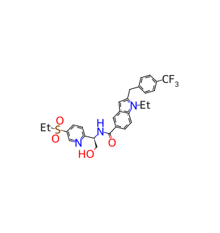 CCn1c(Cc2ccc(C(F)(F)F)cc2)cc2cc(C(=O)N[C@@H](CO)c3ccc(S(=O)(=O)CC)cn3)ccc21